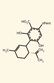 C=C(C)[C@@H]1CCC(C)=CC1c1c(O)cc(CCCCC)c(C(=O)O)c1O